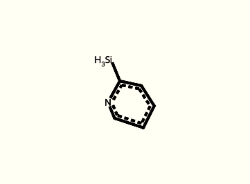 [SiH3]c1ccccn1